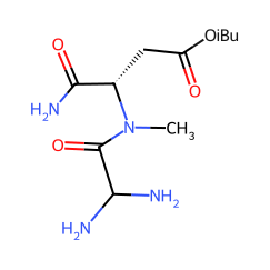 CC(C)COC(=O)C[C@@H](C(N)=O)N(C)C(=O)C(N)N